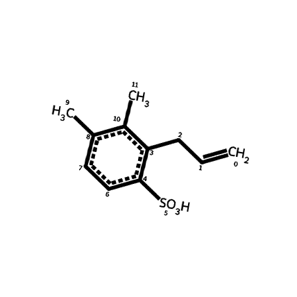 C=CCc1c(S(=O)(=O)O)ccc(C)c1C